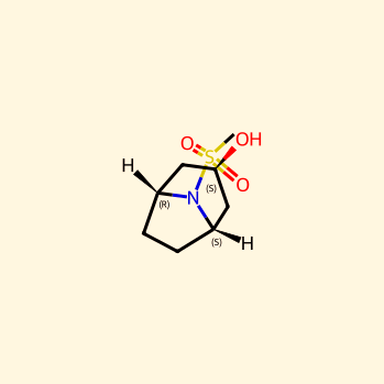 CS(=O)(=O)N1[C@@H]2CC[C@H]1C[C@H](O)C2